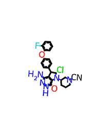 N#CN1CCC[C@@H](N2c3c(c(N)n[nH]c3=O)C(c3ccc(Oc4ccccc4F)cc3)C2Cl)C1